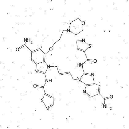 NC(=O)c1cnc2c(c1)nc(NC(=O)c1ccns1)n2CC=CCn1c(NC(=O)c2ccns2)nc2cc(C(N)=O)cc(OCCCN3CCOCC3)c21